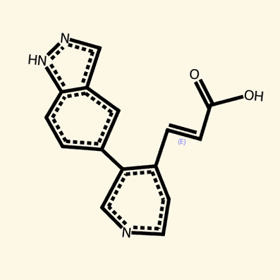 O=C(O)/C=C/c1ccncc1-c1ccc2[nH]ncc2c1